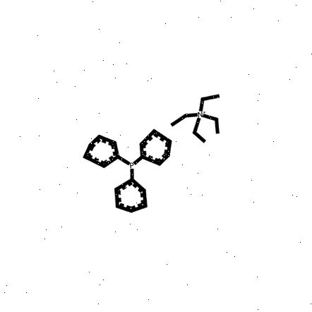 CC[N+](CC)(CC)CC.c1ccc(P(c2ccccc2)c2ccccc2)cc1